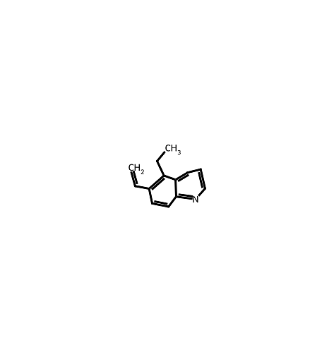 C=Cc1ccc2ncccc2c1CC